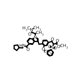 COC(=O)C(C(=O)c1ccc(Cc2cn(C(C)C(=O)N(C)C)c3ccc(C(=O)NCC4CCCC4)cc23)c(OC)c1)S(=O)(=O)c1ccccc1